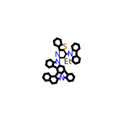 CCC1C(n2c3ccccc3c3c4c5c6ccccc6ccc5n5c6ccccc6c(cc32)c45)=Nc2c(sc3ccccc23)C1n1c2ccccc2c2ccccc21